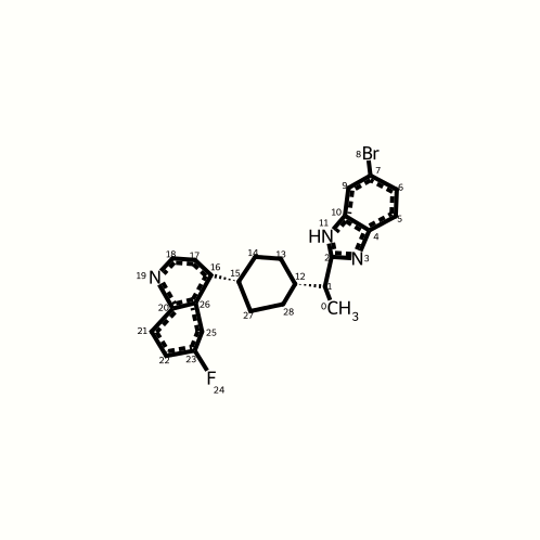 CC(c1nc2ccc(Br)cc2[nH]1)[C@H]1CC[C@@H](c2ccnc3ccc(F)cc32)CC1